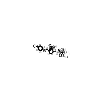 CC(C)(C)[Si](C)(C)OCC12CCC(COc3ccc(Cl)cc3)(CC1)N2C(=O)O